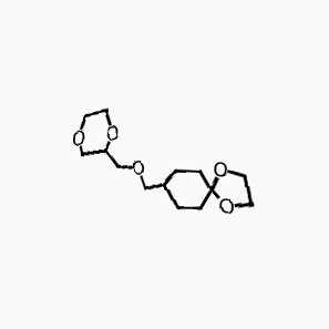 C1COC(COCC2CCC3(CC2)OCCO3)CO1